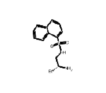 CC[C@@H](N)CNS(=O)(=O)c1cccc2ccccc12